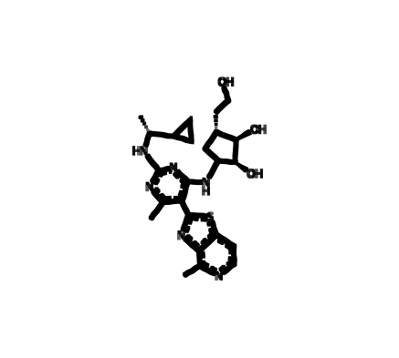 Cc1nc(N[C@H](C)C2CC2)nc(NC2C[C@H](CCO)[C@@H](O)[C@H]2O)c1-c1nc2c(C)nccc2s1